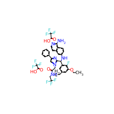 CCOc1cc(CC)cc(C(Nc2ccc3c(N)nccc3c2)c2nc(-c3ccccc3)cn2CC(=O)NCC(F)(F)F)c1F.O=C(O)C(F)(F)F.O=C(O)C(F)(F)F